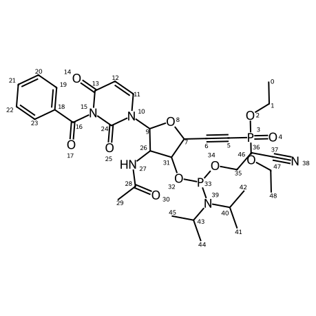 CCOP(=O)(C#CC1OC(n2ccc(=O)n(C(=O)c3ccccc3)c2=O)C(NC(C)=O)C1OP(OCCC#N)N(C(C)C)C(C)C)OCC